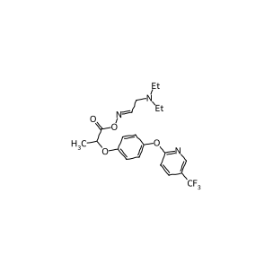 CCN(CC)CC=NOC(=O)C(C)Oc1ccc(Oc2ccc(C(F)(F)F)cn2)cc1